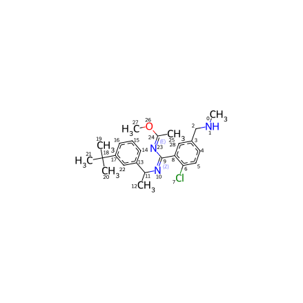 CNCc1ccc(Cl)c(C(=N/C(C)c2cccc(C(C)(C)C)c2)/N=C(\C)OC)c1